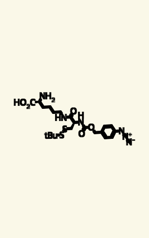 CC(C)(C)SSC[C@H](NC(=O)OCc1ccc(N=[N+]=[N-])cc1)C(=O)NCCCC[C@H](N)C(=O)O